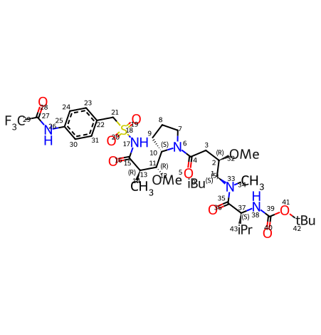 CC[C@H](C)[C@@H]([C@@H](CC(=O)N1CCC[C@H]1[C@H](OC)[C@@H](C)C(=O)NS(=O)(=O)Cc1ccc(NC(=O)C(F)(F)F)cc1)OC)N(C)C(=O)[C@@H](NC(=O)OC(C)(C)C)C(C)C